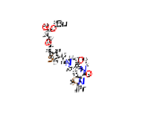 CC(C)c1nc(C(=O)N2CCOC3(CCN(CCc4csc(CCOCCC(=O)OC(C)(C)C)c4)CC3)C2)cs1